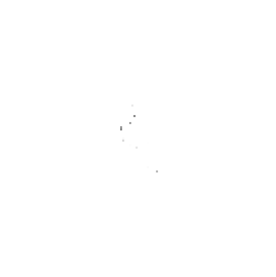 C[C@@H](N)c1ccc(C(C)(C)C)cc1